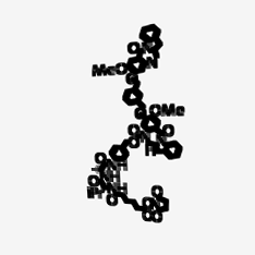 COc1cc2c(cc1OCc1cccc(COc3cc4c(cc3OC)C(=O)N3c5ccccc5C[C@H]3CN4C(=O)OCc3ccc(NC(=O)[C@@H](C)NC(=O)[C@H](NC(=O)CCCCC(=O)ON4C(=O)CCC4=O)C(C)C)cc3)c1)N=CC1Cc3ccccc3N1C2=O